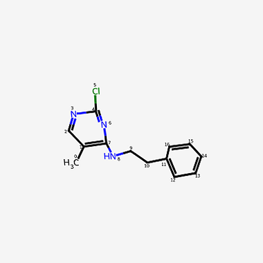 Cc1cnc(Cl)nc1NCCc1ccccc1